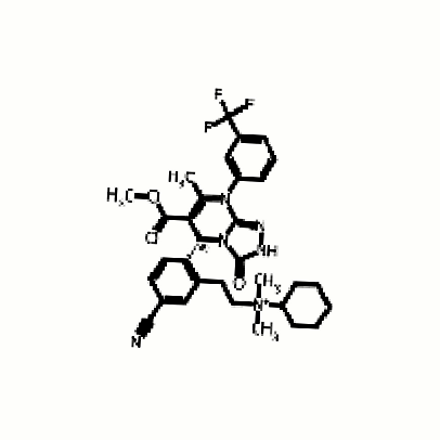 COC(=O)C1=C(C)N(c2cccc(C(F)(F)F)c2)c2n[nH]c(=O)n2[C@@H]1c1ccc(C#N)cc1CC[N+](C)(C)C1CCCCC1